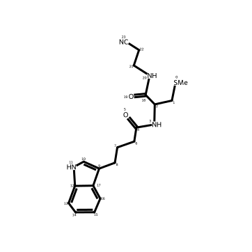 CSCC(NC(=O)CCCc1c[nH]c2ccccc12)C(=O)NCCC#N